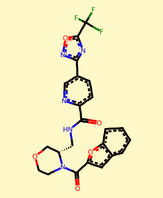 O=C(NC[C@H]1COCCN1C(=O)c1cc2ccccc2o1)c1ccc(-c2noc(C(F)(F)F)n2)cn1